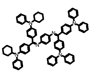 c1ccc(N(c2ccccc2)c2ccc(C(=Nc3ccc(N=C(c4ccc(N(c5ccccc5)C5CCCCC5)cc4)c4ccc(N(c5ccccc5)C5CCCCC5)cc4)cc3)c3ccc(N(c4ccccc4)c4ccccc4)cc3)cc2)cc1